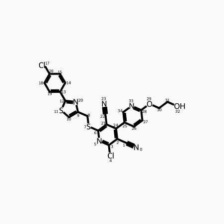 N#Cc1c(Cl)nc(SCc2csc(-c3ccc(Cl)cc3)n2)c(C#N)c1-c1ccc(OCCO)nc1